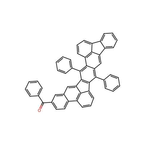 O=C(c1ccccc1)c1ccc2c(c1)cc1c3c(-c4ccccc4)c4c(cc5c6ccccc6c6cccc4c65)c(-c4ccccc4)c3c3cccc2c31